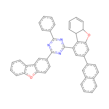 C1=CC2Oc3cc(-c4ccc5ccccc5c4)cc(-c4nc(-c5ccccc5)nc(-c5ccc6oc7ccccc7c6c5)n4)c3C2C=C1